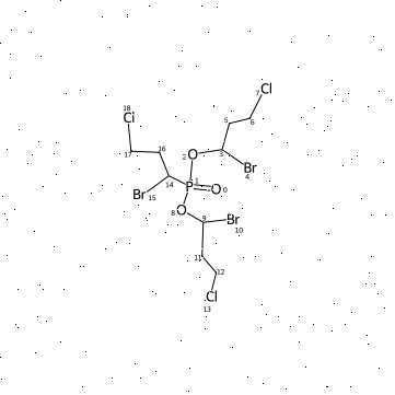 O=P(OC(Br)CCCl)(OC(Br)CCCl)C(Br)CCCl